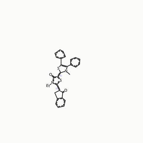 CCn1c(=O)/c(=C2\SC(c3ccccc3)=C(c3ccccc3)N2C)s/c1=C1/Cc2ccccc2C1=O